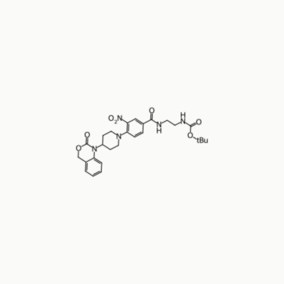 CC(C)(C)OC(=O)NCCNC(=O)c1ccc(N2CCC(N3C(=O)OCc4ccccc43)CC2)c([N+](=O)[O-])c1